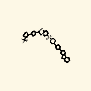 O=C(Cn1cc(S(=O)(=O)N2CCC(c3ccc(-c4ccc5c(c4)Cc4ccccc4-5)cc3)CC2)ccc1=O)c1ccc(-c2cccc(C(F)(F)F)c2)cc1